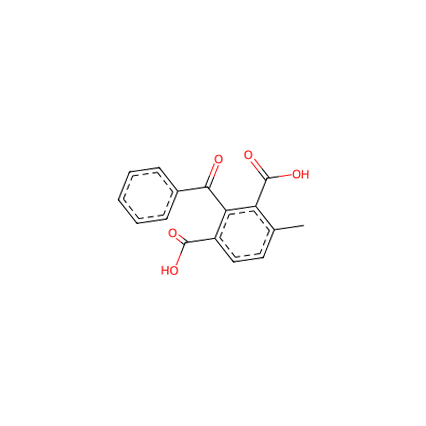 Cc1ccc(C(=O)O)c(C(=O)c2ccccc2)c1C(=O)O